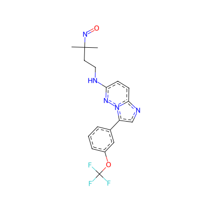 CC(C)(CCNc1ccc2ncc(-c3cccc(OC(F)(F)F)c3)n2n1)N=O